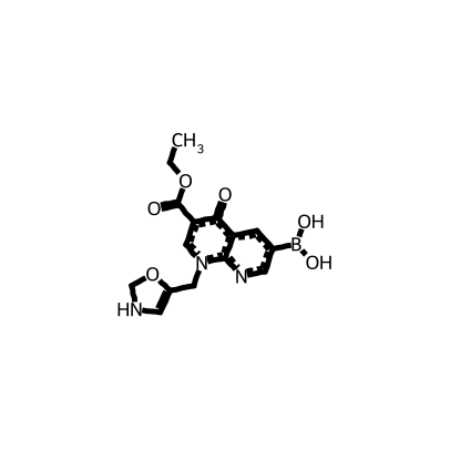 CCOC(=O)c1cn(CC2=CNCO2)c2ncc(B(O)O)cc2c1=O